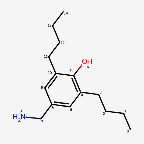 CCCCc1cc(CN)cc(CCCC)c1O